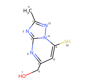 Cc1nc2nc(CO)cc(S)n2n1